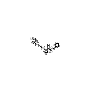 CC(C)(C)OC(=O)COCCCCN1N=CCC1NC(=O)OCc1ccccc1